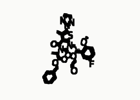 COc1ccc(F)cc1[C@@H](Cn1c(=O)n(C(C)C(=O)OCc2ccccc2)c(=O)c2c(C)c(-n3nccn3)sc21)OCC=O